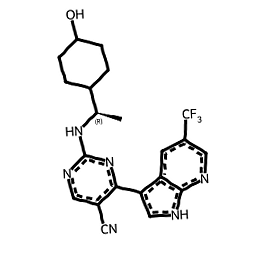 C[C@@H](Nc1ncc(C#N)c(-c2c[nH]c3ncc(C(F)(F)F)cc23)n1)C1CCC(O)CC1